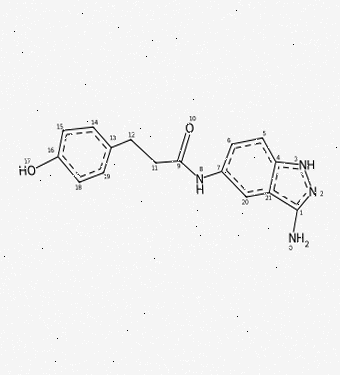 Nc1n[nH]c2ccc(NC(=O)CCc3ccc(O)cc3)cc12